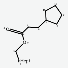 CCCCCCCCOC(=O)CCC1CCCC1